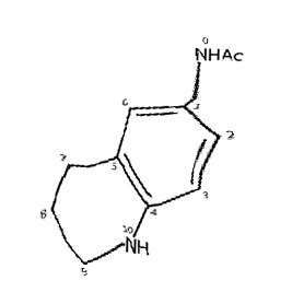 CC(=O)Nc1ccc2c(c1)CCCN2